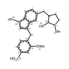 CCCN1CCC(Cc2ccc3c(c2)c(Cc2ccc(C(=O)O)cc2OC)cn3CCC)C1S